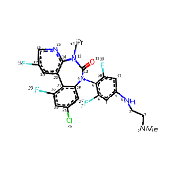 CNCCNc1cc(F)c(N2C(=O)N(C(C)C)c3ncc(F)cc3-c3c(F)cc(Cl)cc32)c(F)c1